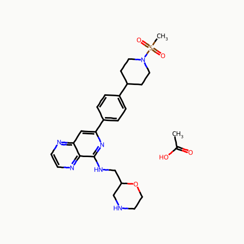 CC(=O)O.CS(=O)(=O)N1CCC(c2ccc(-c3cc4nccnc4c(NCC4CNCCO4)n3)cc2)CC1